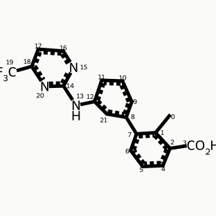 Cc1c(C(=O)O)cccc1-c1cccc(Nc2nccc(C(F)(F)F)n2)c1